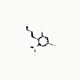 O=CC=Cc1c(F)cc(Br)cc1[N+](=O)[O-]